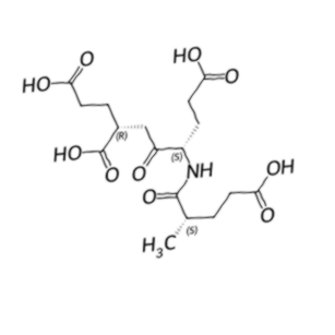 C[C@@H](CCC(=O)O)C(=O)N[C@@H](CCC(=O)O)C(=O)C[C@@H](CCC(=O)O)C(=O)O